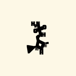 C[C@@H]1N[C@H](C2CC2)C1CNS(N)(=O)=O